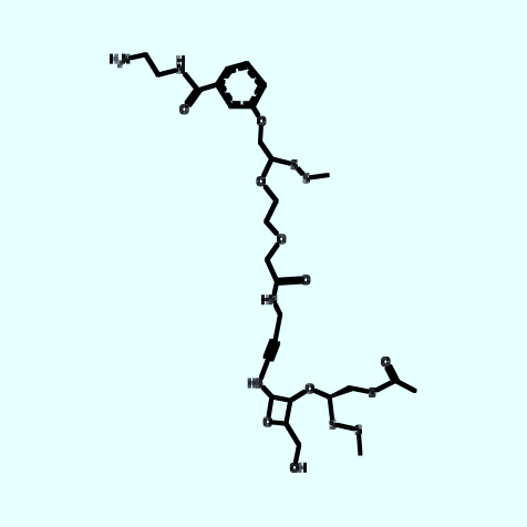 CSSC(COc1cccc(C(=O)NCCN)c1)OCCOCC(=O)NCC#CBC1OC(CO)C1O[C@@H](CSC(C)=O)SSC